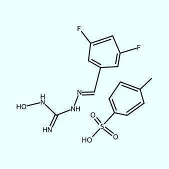 Cc1ccc(S(=O)(=O)O)cc1.N=C(NO)N/N=C/c1cc(F)cc(F)c1